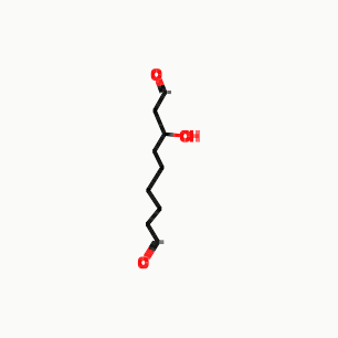 O=[C]CCCCCC(O)C[C]=O